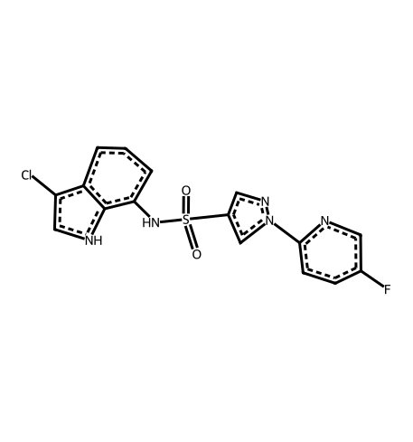 O=S(=O)(Nc1cccc2c(Cl)c[nH]c12)c1cnn(-c2ccc(F)cn2)c1